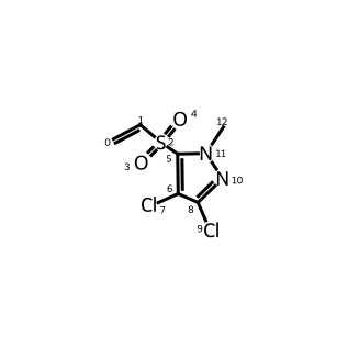 C=CS(=O)(=O)c1c(Cl)c(Cl)nn1C